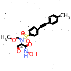 COCN([C@@H]([C]=O)C(=O)NO)S(=O)(=O)c1ccc(C#Cc2ccc(C)cc2)cc1